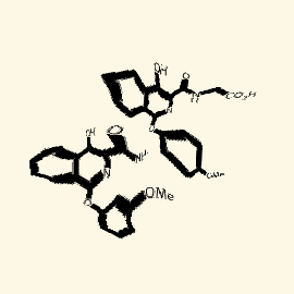 COc1ccc(Oc2nc(C(=O)NCC(=O)O)c(O)c3ccccc23)cc1.COc1cccc(Oc2nc(C([NH])=O)c(O)c3ccccc23)c1